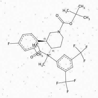 CC(=O)[N+](C)(c1cc(C(F)(F)F)cc(C(F)(F)F)c1)[C@H]1CCN(C(=O)OC(C)(C)C)C[C@@H]1c1ccc(F)cc1C